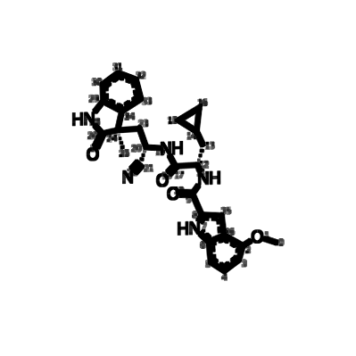 COc1cccc2[nH]c(C(=O)N[C@@H](CC3CC3)C(=O)N[C@H](C#N)C[C@@]3(C)C(=O)Nc4ccccc43)cc12